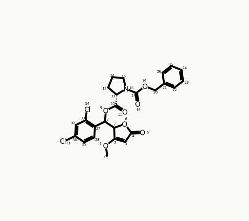 COC1=CC(=O)OC1C(OC(=O)[C@@H]1CCCN1C(=O)OCc1ccccc1)c1ccc(Cl)cc1Cl